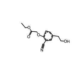 CCOC(=O)COc1ccc(CCO)cc1C#N